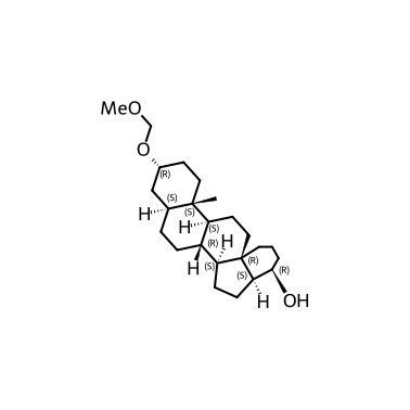 COCO[C@@H]1CC[C@@]2(C)[C@@H](CC[C@@H]3[C@@H]2CC[C@@]24CCC[C@@H](O)[C@H]2CC[C@@H]34)C1